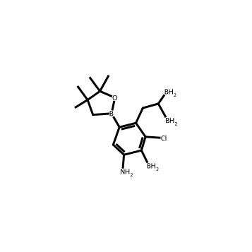 Bc1c(N)cc(B2CC(C)(C)C(C)(C)O2)c(CC(B)B)c1Cl